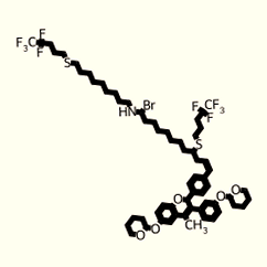 CC1=C(c2cccc(OC3CCCCO3)c2)C(c2ccc(/C=C\CC(CCCCCCCC(Br)NCCCCCCCCCSCCCC(F)(F)C(F)(F)F)SCCCC(F)(F)C(F)(F)F)cc2)Oc2ccc(OC3CCCCO3)cc21